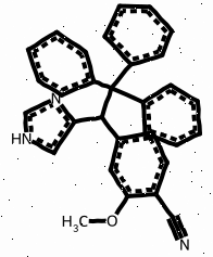 COc1cc(C(c2c[nH]cn2)C(c2ccccc2)(c2ccccc2)c2ccccc2)ccc1C#N